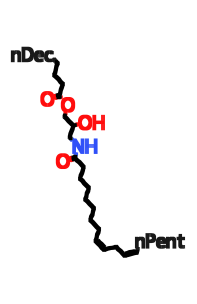 CCCCC/C=C\C/C=C\CCCCCCCC(=O)NCC(O)COC(=O)CCCCCCCCCCCCC